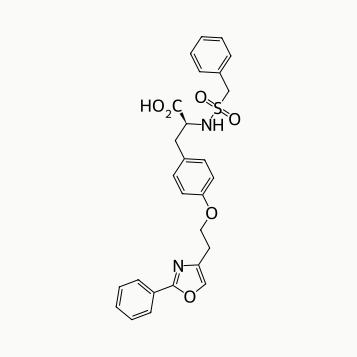 O=C(O)[C@H](Cc1ccc(OCCc2coc(-c3ccccc3)n2)cc1)NS(=O)(=O)Cc1ccccc1